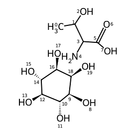 CC(O)C(N)C(=O)O.O[C@H]1[C@H](O)[C@@H](O)[C@H](O)[C@@H](O)[C@H]1O